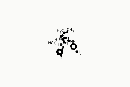 CCC(C)n1cnc2c(NCc3cccc(I)c3)nc(N[C@H]3CC[C@H](N)CC3)nc21.Cl.Cl